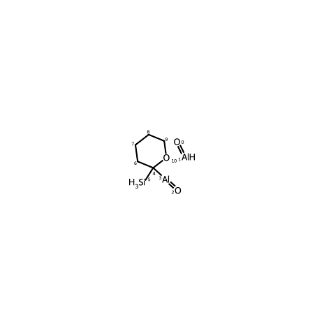 [O]=[AlH].[O]=[Al][C]1([SiH3])CCCCO1